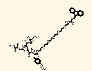 CC(C)[C@H](NC(=O)OC(C)(C)C)C(=O)N[C@@H](CCCNC(N)=O)C(=O)N[C@@H](Cc1ccc(OC(C)(C)C)cc1)C(=O)NCCOCCOCCOCCOCCOCCNC(=O)OCC1c2ccccc2-c2ccccc21